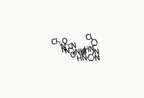 O=C(CNC(=O)C1=C2N=NN(CCCl)C(=O)C2C=N1)Nc1ccc2ncnc(Nc3cccc(Cl)c3)c2c1